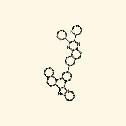 c1ccc(-c2nc3c(ccc4cc(-c5ccc6c(c5)c5c7ccccc7ccc5c5nc7ccccn7c65)ccc43)nc2-c2ccccn2)cc1